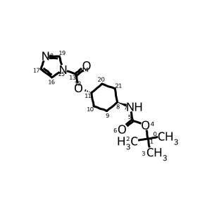 CC(C)(C)OC(=O)N[C@H]1CC[C@H](OC(=O)n2ccnc2)CC1